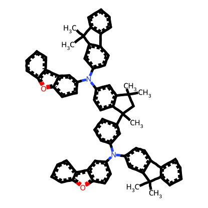 CC1(C)CC(C)(c2cccc(N(c3ccc4c(c3)C(C)(C)c3ccccc3-4)c3ccc4oc5ccccc5c4c3)c2)c2ccc(N(c3ccc4c(c3)C(C)(C)c3ccccc3-4)c3ccc4oc5ccccc5c4c3)cc21